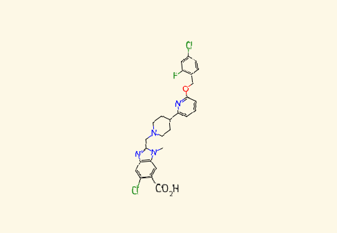 Cn1c(CN2CCC(c3cccc(OCc4ccc(Cl)cc4F)n3)CC2)nc2cc(Cl)c(C(=O)O)cc21